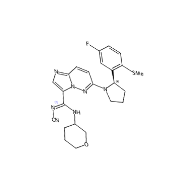 CSc1ccc(F)cc1[C@H]1CCCN1c1ccc2ncc(/C(=N/C#N)NC3CCCOC3)n2n1